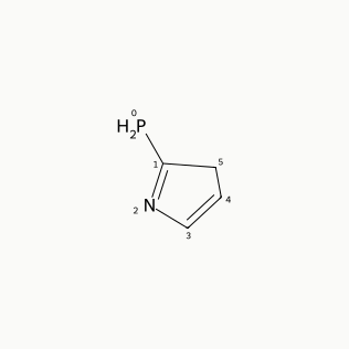 PC1=NC=CC1